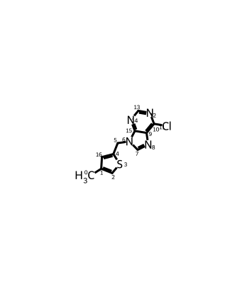 Cc1csc(Cn2cnc3c(Cl)ncnc32)c1